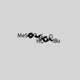 CSc1ccc(OCc2csc(C3(O)CCN(C(=O)CC(C)(C)C)CC3)n2)cc1